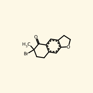 CC1(Br)CCc2cc3c(cc2C1=O)CCO3